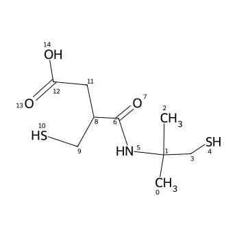 CC(C)(CS)NC(=O)C(CS)CC(=O)O